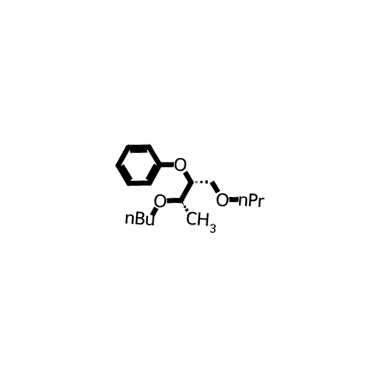 CCCCO[C@@H](C)[C@@H](COCCC)Oc1ccccc1